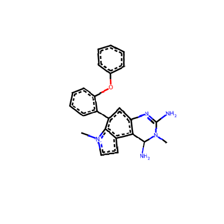 CN1C(N)=Nc2cc(-c3ccccc3Oc3ccccc3)c3c(ccn3C)c2C1N